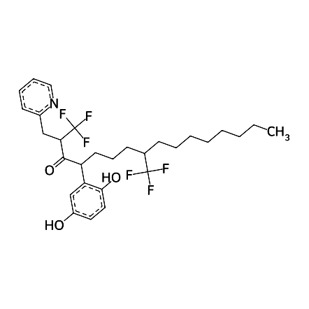 CCCCCCCCC(CCCC(C(=O)C(Cc1ccccn1)C(F)(F)F)c1cc(O)ccc1O)C(F)(F)F